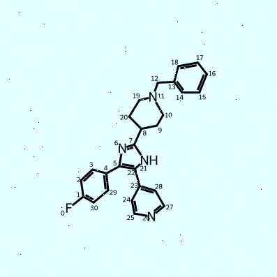 Fc1ccc(-c2nc(C3CCN(Cc4ccccc4)CC3)[nH]c2-c2ccncc2)cc1